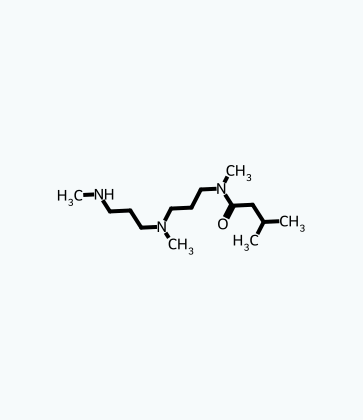 CNCCCN(C)CCCN(C)C(=O)CC(C)C